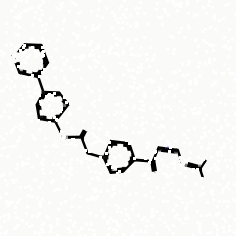 C=C(/C=C\N=C(C)C)c1ccc(CC(=O)Nc2ccc(-c3cccnc3)cc2)cc1